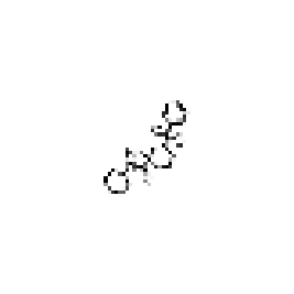 CC1(C(=O)NC2CCCCC2)CCCN(S(=O)(=O)c2ccccc2)C1